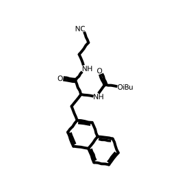 CC(C)COC(=O)NC(Cc1ccc2ccccc2c1)C(=O)NCCC#N